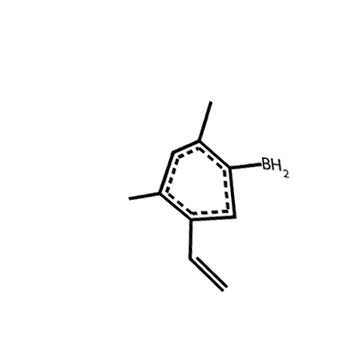 Bc1cc(C=C)c(C)cc1C